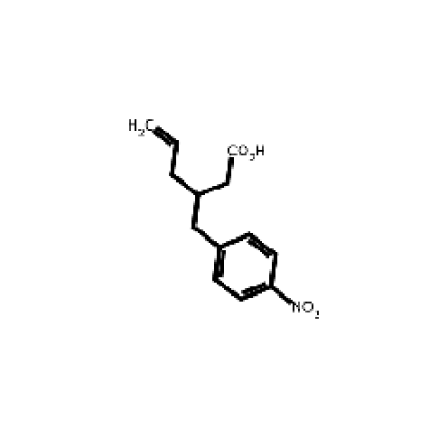 C=CCC(CC(=O)O)Cc1ccc([N+](=O)[O-])cc1